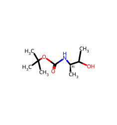 CC(O)[C@@H](C)NC(=O)OC(C)(C)C